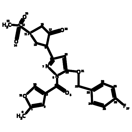 Cc1cc(C(=O)n2nc(C3CN(S(C)(=O)=O)CC3=O)cc2OCc2ccc(F)cc2)co1